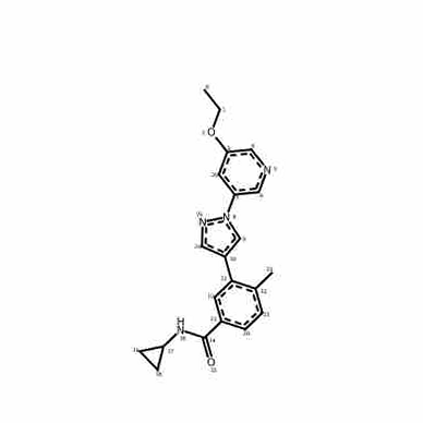 CCOc1cncc(-n2cc(-c3cc(C(=O)NC4CC4)ccc3C)cn2)c1